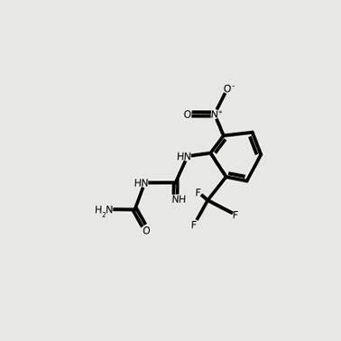 N=C(NC(N)=O)Nc1c([N+](=O)[O-])cccc1C(F)(F)F